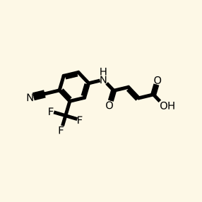 N#Cc1ccc(NC(=O)/C=C/C(=O)O)cc1C(F)(F)F